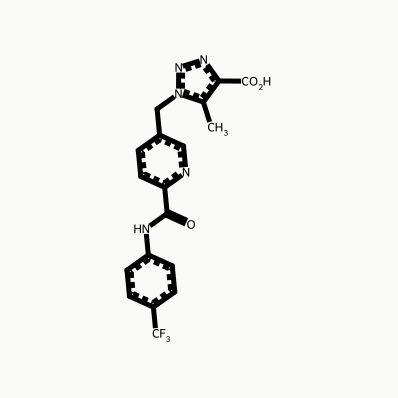 Cc1c(C(=O)O)nnn1Cc1ccc(C(=O)Nc2ccc(C(F)(F)F)cc2)nc1